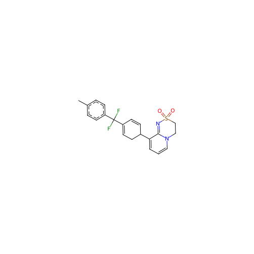 Cc1ccc(C(F)(F)C2=CCC(C3=CC=CN4CCS(=O)(=O)N=C34)C=C2)cc1